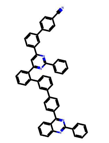 N#Cc1ccc(-c2cccc(-c3cc(-c4ccccc4-c4cccc(-c5ccc(-c6nc(-c7ccccc7)nc7ccccc67)cc5)c4)nc(-c4ccccc4)n3)c2)cc1